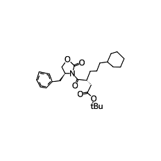 CC(C)(C)OC(=O)C[C@@H](CCCC1CCCCC1)C(=O)N1C(=O)OC[C@@H]1Cc1ccccc1